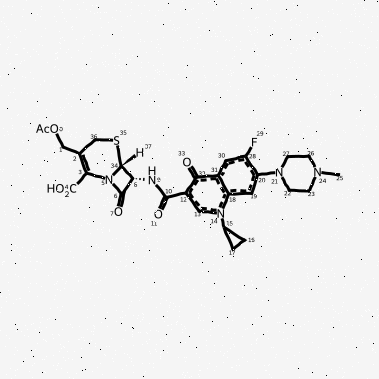 CC(=O)OCC1=C(C(=O)O)N2C(=O)[C@@H](NC(=O)c3cn(C4CC4)c4cc(N5CCN(C)CC5)c(F)cc4c3=O)[C@H]2SC1